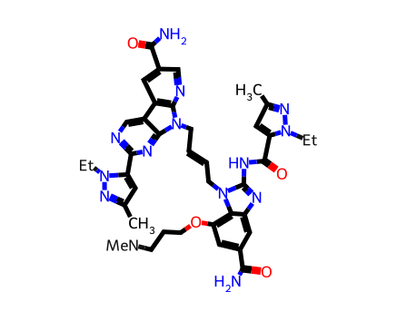 CCn1nc(C)cc1C(=O)Nc1nc2cc(C(N)=O)cc(OCCCNC)c2n1C/C=C/Cn1c2ncc(C(N)=O)cc2c2cnc(-c3cc(C)nn3CC)nc21